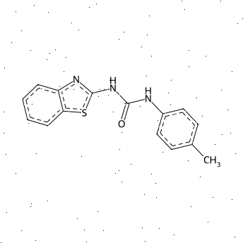 Cc1ccc(NC(=O)Nc2nc3ccccc3s2)cc1